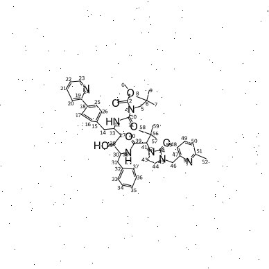 COC(=O)N(CC(C)(C)C)C(=O)NC(Cc1ccc(-c2ccccn2)cc1)CC(O)C(Cc1ccccc1)NC(=O)C(N1CCN(Cc2cccc(C)n2)C1=O)C(C)(C)C